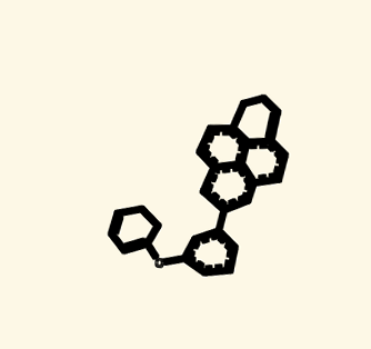 C1=CCCC(Oc2cccc(-c3cc4ccc5c6c(ccc(c3)c46)=CCC5)c2)=C1